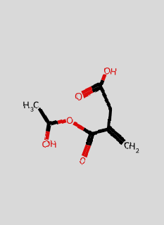 C=C(CC(=O)O)C(=O)OC(C)O